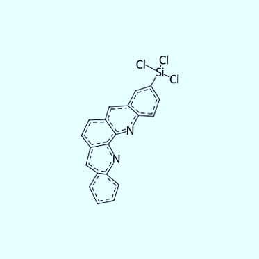 Cl[Si](Cl)(Cl)c1ccc2nc3c(ccc4cc5ccccc5nc43)cc2c1